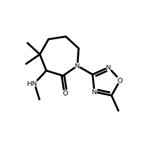 CNC1C(=O)N(c2noc(C)n2)CCCC1(C)C